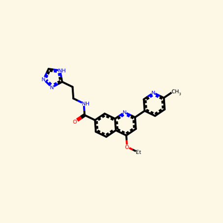 CCOc1cc(-c2ccc(C)nc2)nc2cc(C(=O)NCCc3nnc[nH]3)ccc12